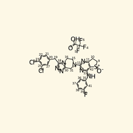 O=C(O)C(F)(F)F.[O-][S+]1CCc2nc(N3CCn4c(Cc5ccc(Cl)c(Cl)c5)nnc4C3)nc(Nc3cccc(F)c3)c21